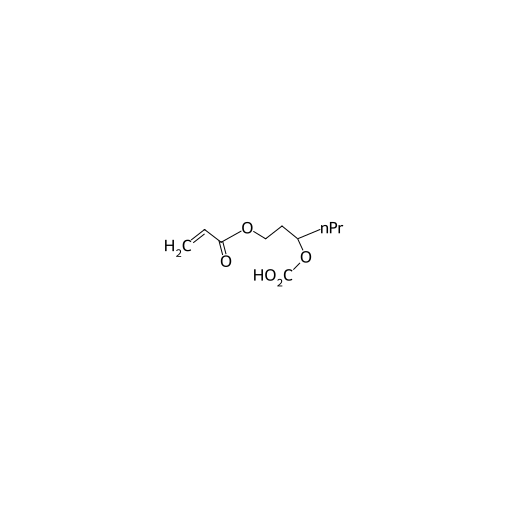 C=CC(=O)OCCC(CCC)OC(=O)O